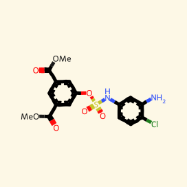 COC(=O)c1cc(OS(=O)(=O)Nc2ccc(Cl)c(N)c2)cc(C(=O)OC)c1